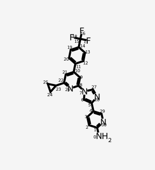 Nc1ccc(-c2cn(-c3cc(-c4ccc(C(F)(F)F)cc4)cc(C4CC4)n3)cn2)cn1